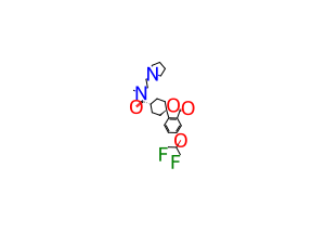 CN(CCN1CCCC1)C(=O)[C@H]1CC[C@@]2(CC1)OC(=O)c1cc(OC(CF)CF)ccc12